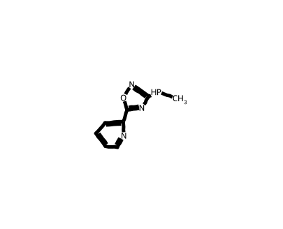 CPc1noc(-c2ccccn2)n1